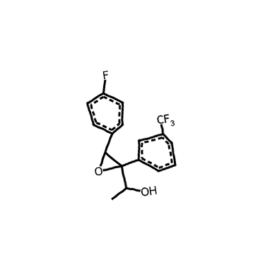 CC(O)C1(c2cccc(C(F)(F)F)c2)OC1c1ccc(F)cc1